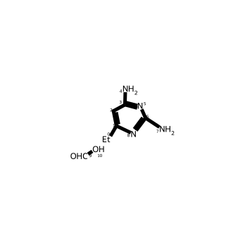 CCc1cc(N)nc(N)n1.O=CO